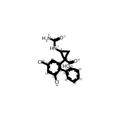 NC(=O)NC1CC1(C(=O)O)c1cc(Cl)cc(Cl)c1-c1ccccc1